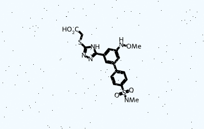 CNS(=O)(=O)c1ccc(-c2cc(NOC)cc(-c3nnc(SCC(=O)O)[nH]3)c2)cc1